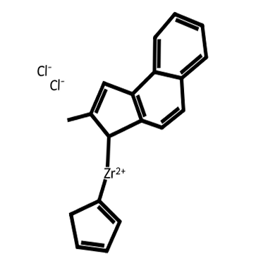 CC1=Cc2c(ccc3ccccc23)[CH]1[Zr+2][C]1=CC=CC1.[Cl-].[Cl-]